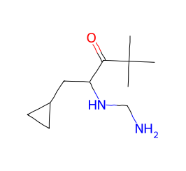 CC(C)(C)C(=O)C(CC1CC1)NCN